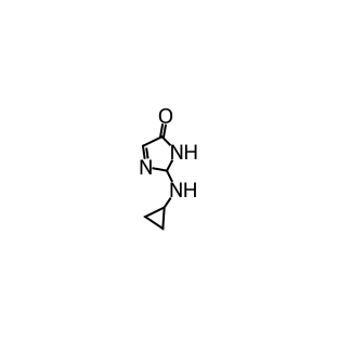 O=C1C=NC(NC2CC2)N1